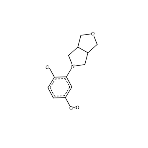 O=Cc1ccc(Cl)c(N2CC3COCC3C2)c1